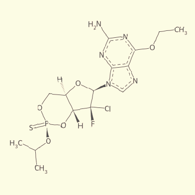 CCOc1nc(N)nc2c1ncn2[C@@H]1O[C@@H]2CO[P@](=S)(OC(C)C)O[C@H]2[C@@]1(F)Cl